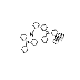 N#Cc1ccccc1.[Cl][Pd][Cl].[Cl][Pd][Cl].c1ccc(P(c2ccccc2)c2ccccc2)cc1.c1ccc(P(c2ccccc2)c2ccccc2)cc1